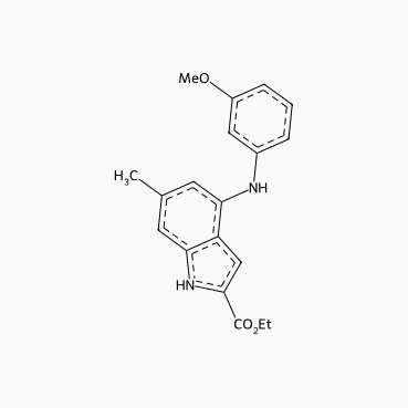 CCOC(=O)c1cc2c(Nc3cccc(OC)c3)cc(C)cc2[nH]1